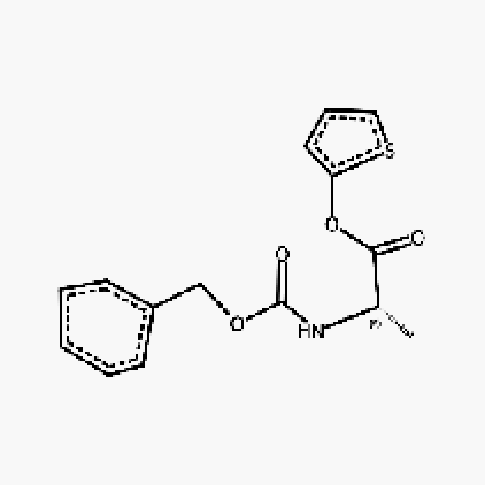 C[C@H](NC(=O)OCc1ccccc1)C(=O)Oc1cccs1